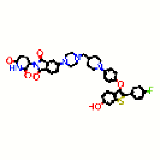 O=C1CCC(N2C(=O)c3ccc(N4CCN(CC5CCN(c6ccc(Oc7c(-c8ccc(F)cc8)sc8cc(O)ccc78)cc6)CC5)CC4)cc3C2=O)C(=O)N1